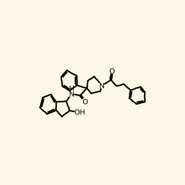 O=C(CCc1ccccc1)N1CCC(C(=O)NC2c3ccccc3CC2O)(c2ccccc2)CC1